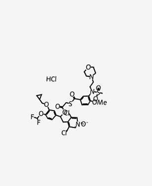 COc1ccc(C(=O)SCC(=O)OC(Cc2c(Cl)c[n+]([O-])cc2Cl)c2ccc(OC(F)F)c(OCC3CC3)c2)cc1N(CCN1CCOCC1)S(C)(=O)=O.Cl